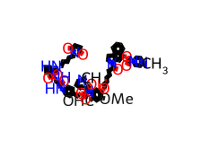 COc1cc(C=O)c(N(C(=O)OCc2ccc(NC(=O)CNC(=O)C3(C(=O)NCCCCCN4C(=O)C=CC4=O)CCC3)cc2)C(O)[C@@H]2CCCN2C)cc1OCCCCCC(=O)N1CCc2c1cc(OC(=O)N1CCN(C)CC1)c1ccccc21